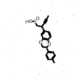 CC#CC(CS(=O)O)c1ccc2c(c1)OCC(c1ccc(C)cc1)O2